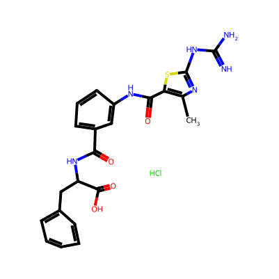 Cc1nc(NC(=N)N)sc1C(=O)Nc1cccc(C(=O)NC(Cc2ccccc2)C(=O)O)c1.Cl